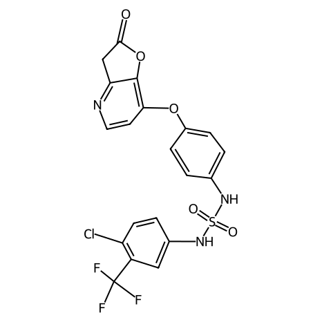 O=C1Cc2nccc(Oc3ccc(NS(=O)(=O)Nc4ccc(Cl)c(C(F)(F)F)c4)cc3)c2O1